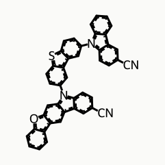 N#Cc1ccc2c(c1)c1ccccc1n2-c1ccc2sc3ccc(-n4c5ccc(C#N)cc5c5cc6c(cc54)oc4ccccc46)cc3c2c1